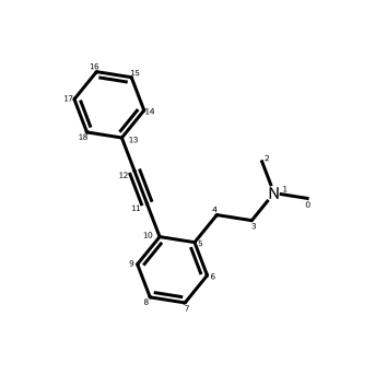 CN(C)CCc1ccccc1C#Cc1ccccc1